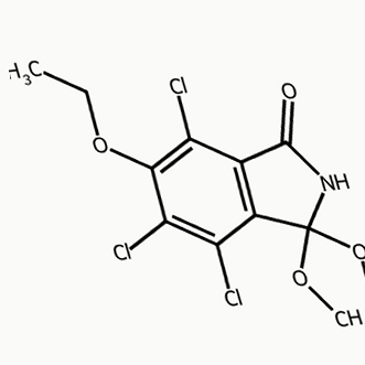 CCOc1c(Cl)c(Cl)c2c(c1Cl)C(=O)NC2(OC)OC